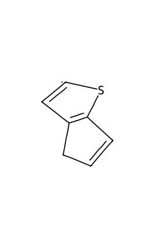 [c]1cc2c(s1)C=CC2